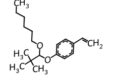 C=Cc1ccc(OC(OCCCCCC)C(C)(C)C)cc1